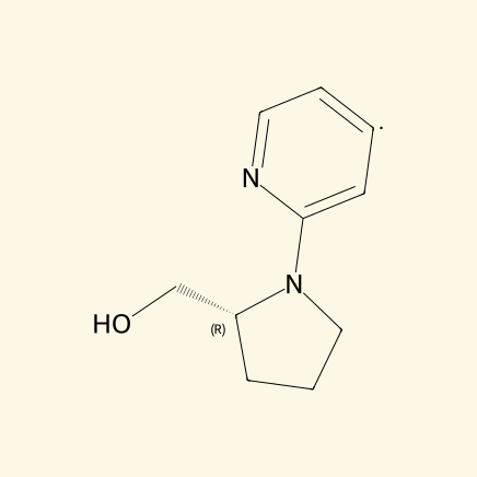 OC[C@H]1CCCN1c1c[c]ccn1